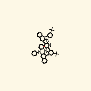 CC(C)(C)c1ccc2c(c1)c1c3ccccc3cc3c4cc5c(nc4n2c31)c1cc(C(C)(C)C)cc2c3c4ccccc4cc(N(c4ccccc4)c4ccccc4)c3n5c12